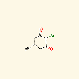 CCCC1CC(=O)C(Br)C(=O)C1